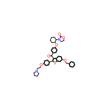 O=C(c1ccc(OC2CCCCC2N2CCOC2=O)cc1)c1c(-c2ccc(OCCN3CCCC3)cc2)sc2cc(OCc3ccccc3)ccc12